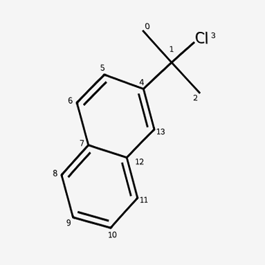 CC(C)(Cl)c1ccc2ccccc2c1